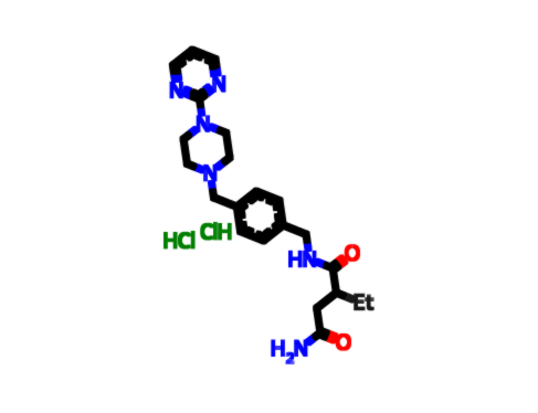 CCC(CC(N)=O)C(=O)NCc1ccc(CN2CCN(c3ncccn3)CC2)cc1.Cl.Cl